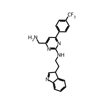 NCc1cc(-c2ccc(C(F)(F)F)cc2)nc(NCCC2C=Nc3ccccc32)n1